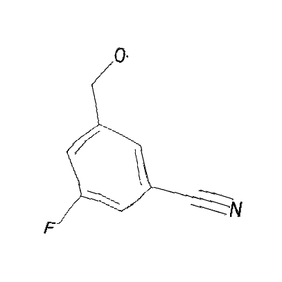 N#Cc1cc(F)cc(C[O])c1